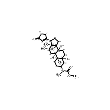 COC(=O)N(C)[C@H]1CC[C@@]2(C)[C@H](CC[C@@H]3[C@@H]2C[C@@H](O)[C@]2(C)[C@@H](C4=CC(=O)OC4)CC[C@]32O)C1